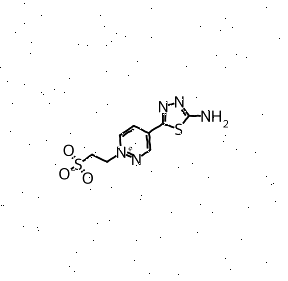 Nc1nnc(-c2cc[n+](CCS(=O)(=O)[O-])nc2)s1